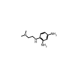 CN(C)CCNc1ccc(N)cc1N